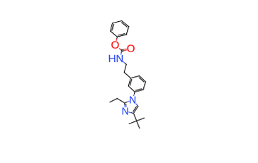 CCc1nc(C(C)(C)C)cn1-c1cccc(CCNC(=O)Oc2ccccc2)c1